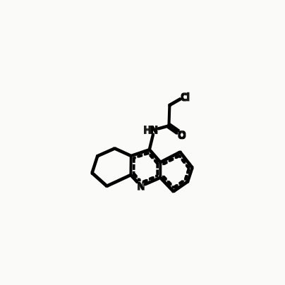 O=C(CCl)Nc1c2c(nc3ccccc13)CCCC2